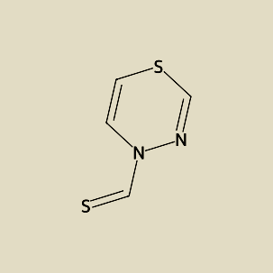 S=CN1C=CSC=N1